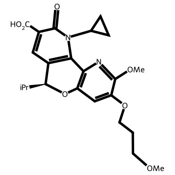 COCCCOc1cc2c(nc1OC)-c1c(cc(C(=O)O)c(=O)n1C1CC1)[C@H](C(C)C)O2